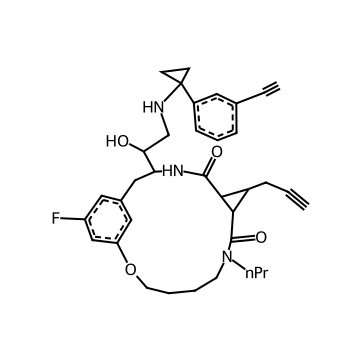 C#CCC1C2C(=O)NC(C(O)CNC3(c4cccc(C#C)c4)CC3)Cc3cc(F)cc(c3)OCCCCN(CCC)C(=O)C12